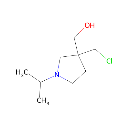 CC(C)N1CCC(CO)(CCl)C1